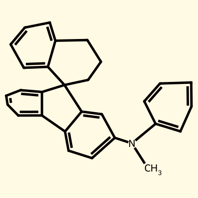 CN(c1ccccc1)c1ccc2c(c1)C1(CCCc3ccccc31)c1ccccc1-2